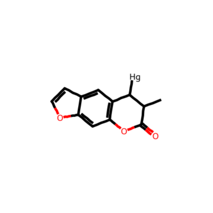 CC1C(=O)Oc2cc3occc3cc2[CH]1[Hg]